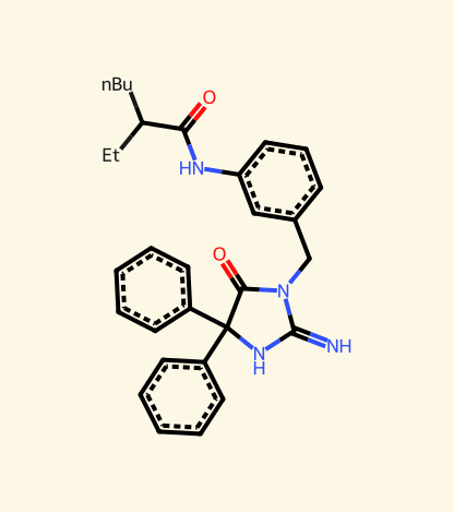 CCCCC(CC)C(=O)Nc1cccc(CN2C(=N)NC(c3ccccc3)(c3ccccc3)C2=O)c1